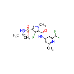 Cc1cc(NC(=O)c2c(F)c(S(=O)(=O)N[C@H](C)C(F)(F)F)cn2C)cc(C(F)F)n1